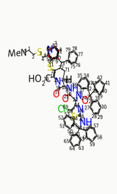 CNCCSCc1ncccc1SC1=C(C(=O)O)N2C(=O)[C@@H](NC(=O)C(=NOC(c3ccccc3)(c3ccccc3)c3ccccc3)c3nc(NC(c4ccccc4)(c4ccccc4)c4ccccc4)sc3Cl)[C@H]2CC1C(c1ccccc1)c1ccccc1